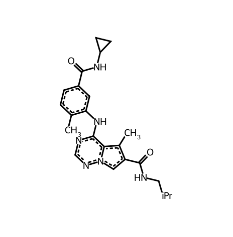 Cc1ccc(C(=O)NC2CC2)cc1Nc1ncnn2cc(C(=O)NCC(C)C)c(C)c12